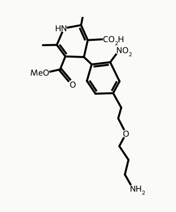 COC(=O)C1=C(C)NC(C)=C(C(=O)O)C1c1ccc(CCOCCCN)cc1[N+](=O)[O-]